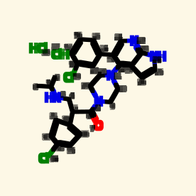 CC(C)NCC(C(=O)N1CCN(c2c(-c3cccc(Cl)c3)cnc3[nH]ccc23)CC1)c1ccc(Cl)cc1.Cl.Cl